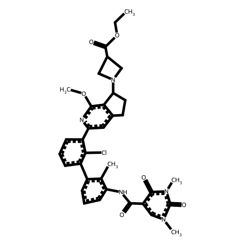 CCOC(=O)C1CN(C2CCc3cc(-c4cccc(-c5cccc(NC(=O)c6cn(C)c(=O)n(C)c6=O)c5C)c4Cl)nc(OC)c32)C1